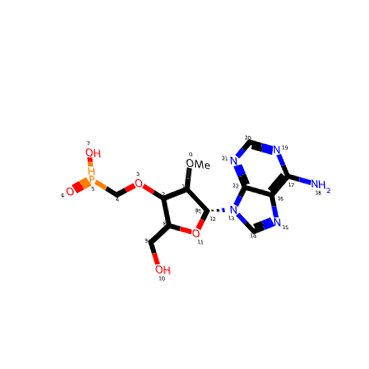 COC1C(OC[PH](=O)O)C(CO)O[C@H]1n1cnc2c(N)ncnc21